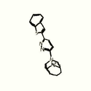 CN1C2CCCC1CN(c1ccc(-c3cc4ccccc4s3)nn1)C2